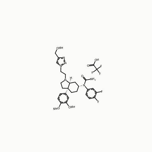 COCc1cn(CCN2CC[C@]3(c4ccc(OC)c(OC)c4)CC[C@@H](N(C(N)=O)c4ccc(F)c(F)c4)C[C@H]23)nn1.O=C(O)C(F)(F)F